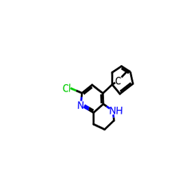 Clc1cc(C23C=CC(=CC2)CC3)c2c(n1)CCCN2